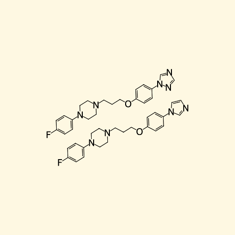 Fc1ccc(N2CCN(CCCOc3ccc(-n4ccnc4)cc3)CC2)cc1.Fc1ccc(N2CCN(CCCOc3ccc(-n4cncn4)cc3)CC2)cc1